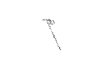 CCCCCCCCCCCCCCCCCCN(CC(=O)O)C(N)=O